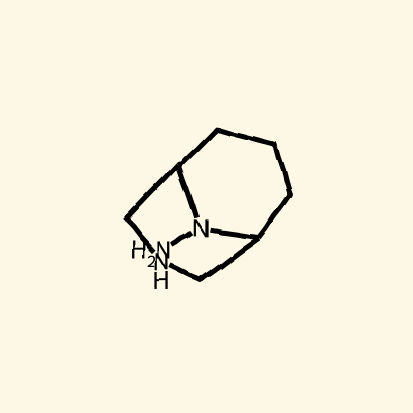 NN1C2CCCC1CNC2